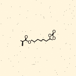 C=C(C)C(=O)OC[CH]CCCCC1COC(=O)O1